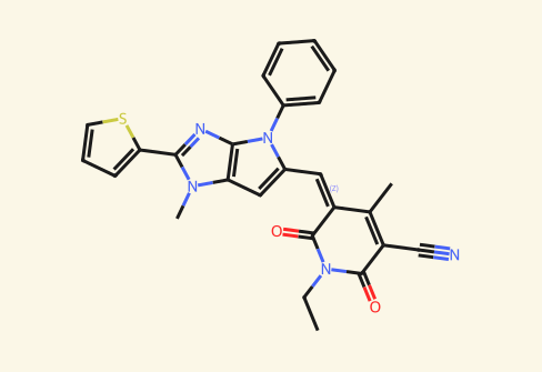 CCN1C(=O)C(C#N)=C(C)/C(=C/c2cc3c(nc(-c4cccs4)n3C)n2-c2ccccc2)C1=O